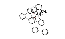 [CH3][Hf]([CH3])(=[SiH2])([c]1ccccc1)([c]1ccccc1)([CH]1C=Cc2c(-c3ccccc3-c3ccccc3)cccc21)[CH]1C=Cc2c(-c3ccccc3-c3ccccc3)cccc21